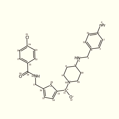 CCCc1ccc(CNC2CCN([S+]([O-])c3ccc(CNC(=O)c4ccc(Cl)cc4)s3)CC2)cc1